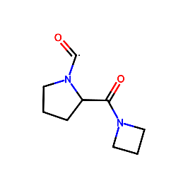 O=[C]N1CCCC1C(=O)N1CCC1